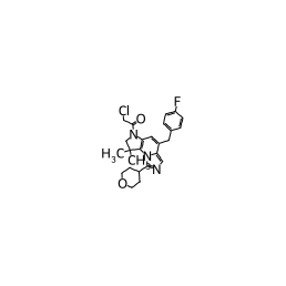 CC1(C)CN(C(=O)CCl)c2cc(Cc3ccc(F)cc3)c3cnc(C4CCOCC4)n3c21